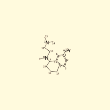 CC(C)c1ccc2c(c1)C(N(C)CCN(C)C)CCC2